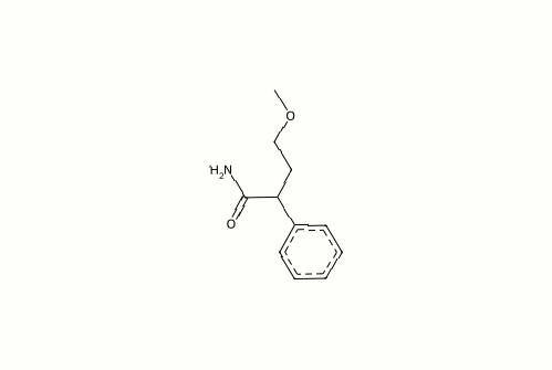 COCCC(C(N)=O)c1ccccc1